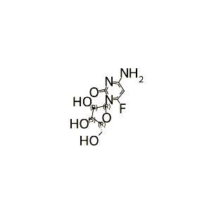 Nc1cc(F)n([C@@H]2O[C@H](CO)[C@@H](O)[C@H]2O)c(=O)n1